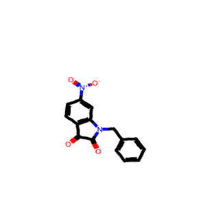 O=C1C(=O)N(Cc2ccccc2)c2cc([N+](=O)[O-])ccc21